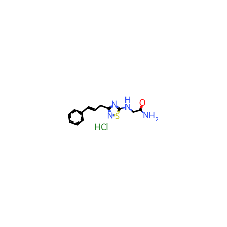 Cl.NC(=O)CNc1nc(C/C=C/c2ccccc2)ns1